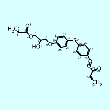 C=CC(=O)OCC(O)COc1ccc(Sc2ccc(OOC(=O)C=C)cc2)cc1